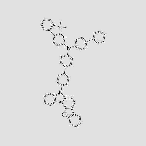 CC1(C)c2ccccc2-c2ccc(N(c3ccc(-c4ccccc4)cc3)c3ccc(-c4ccc(-n5c6ccccc6c6c7oc8ccccc8c7ccc65)cc4)cc3)cc21